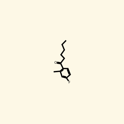 CCCCCC(=O)c1ccc(F)cc1C